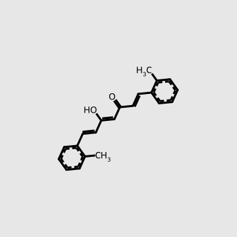 Cc1ccccc1C=CC(=O)C=C(O)C=Cc1ccccc1C